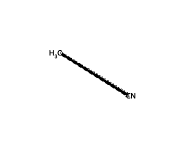 CC#CC#CC#CC#CC#CC#CC#CC#CC#CC#CC#CC#CC#N